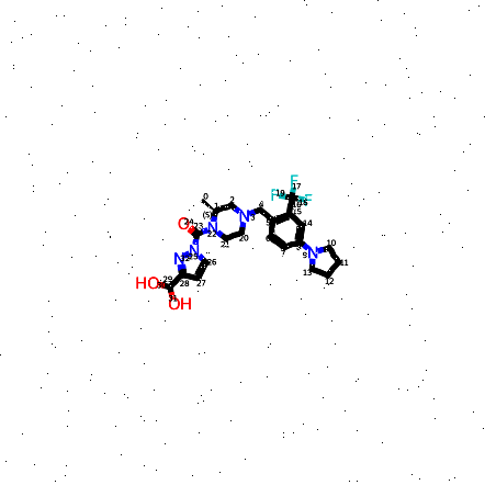 C[C@H]1CN(Cc2ccc(N3CCCC3)cc2C(F)(F)F)CCN1C(=O)n1ccc(C(O)O)n1